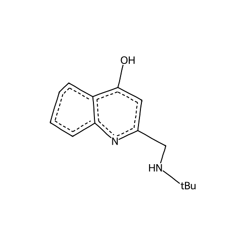 CC(C)(C)NCc1cc(O)c2ccccc2n1